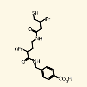 CCCC(CCNC(=O)CC(CS)C(C)C)C(=O)NCc1ccc(C(=O)O)cc1